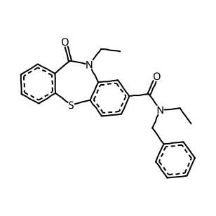 CCN(Cc1ccccc1)C(=O)c1ccc2c(c1)N(CC)C(=O)c1ccccc1S2